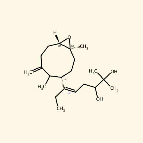 C=C1CC[C@@H]2O[C@@]2(C)CC[C@H](/C(=C\CC(O)C(C)(C)O)CC)C1C